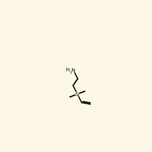 C=C[Si](C)(C)CCN